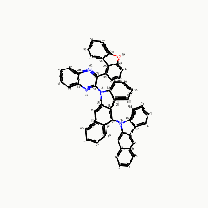 c1ccc2cc3c(cc2c1)c1ccccc1n3-c1c2ccccc2cc2c1c1ccccc1n2-c1nc2ccccc2nc1-c1cccc2oc3ccccc3c12